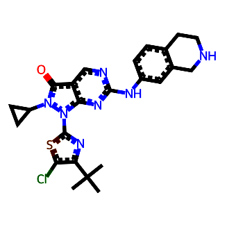 CC(C)(C)c1nc(-n2c3nc(Nc4ccc5c(c4)CNCC5)ncc3c(=O)n2C2CC2)sc1Cl